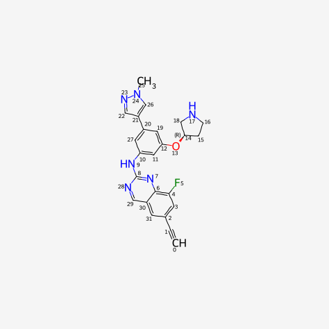 C#Cc1cc(F)c2nc(Nc3cc(O[C@@H]4CCNC4)cc(-c4cnn(C)c4)c3)ncc2c1